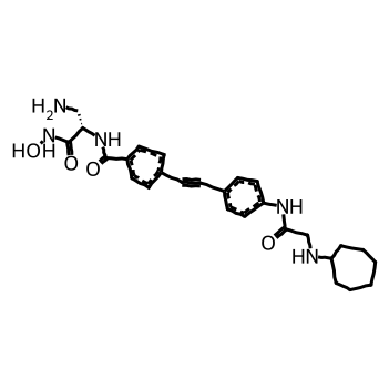 NC[C@H](NC(=O)c1ccc(C#Cc2ccc(NC(=O)CNC3CCCCCC3)cc2)cc1)C(=O)NO